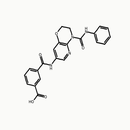 O=C(O)c1cccc(C(=O)Nc2cnc3c(c2)OCCN3C(=O)Nc2ccccc2)c1